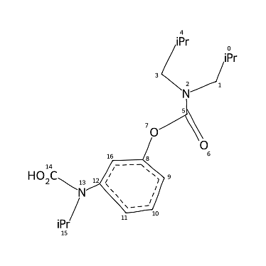 CC(C)CN(CC(C)C)C(=O)Oc1cccc(N(C(=O)O)C(C)C)c1